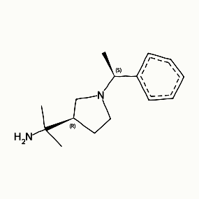 C[C@@H](c1ccccc1)N1CC[C@@H](C(C)(C)N)C1